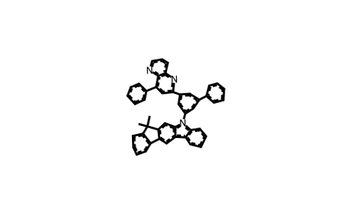 CC1(C)c2ccccc2-c2cc3c4ccccc4n(-c4cc(-c5ccccc5)cc(-c5cc(-c6ccccc6)c6ncccc6n5)c4)c3cc21